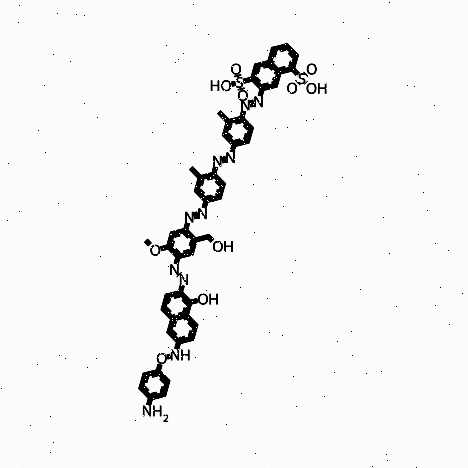 COc1cc(N=Nc2ccc(N=Nc3ccc(N=Nc4cc5c(S(=O)(=O)O)cccc5cc4S(=O)(=O)O)c(C)c3)c(C)c2)c(CO)cc1N=Nc1ccc2cc(NOc3ccc(N)cc3)ccc2c1O